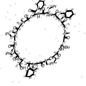 CC[C@H](C)[C@H]1CC(=O)N(C)C[C@@H](C)C(=O)N(C)[C@@H](Cc2ccccc2)C(=O)N[C@@H](CC(C)C)C(=O)N[C@H](C(=O)N2CCCCC2)CC(=O)N(C)[C@@H](C)C(=O)N(C)[C@@H](CC(C)C)CC(=O)N(C)[C@H](CC(C)C)C(=O)N[C@@H]([C@@H](C)O)CC(=O)N(C)[C@@H](Cc2ccccc2)C(=O)N(C)C[C@H](CC(C)C)C(=O)N1